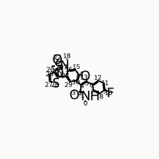 CNC(=O)c1c(-c2ccc(F)cc2)oc2cc(N(C)S(C)(=O)=O)c(-c3cccs3)cc12